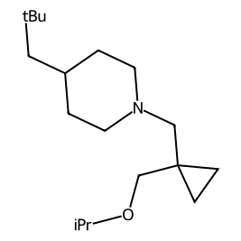 CC(C)OCC1(CN2CCC(CC(C)(C)C)CC2)CC1